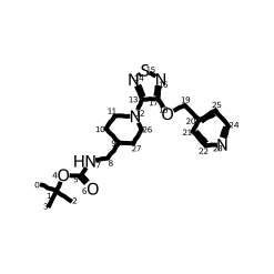 CC(C)(C)OC(=O)NCC1CCN(c2nsnc2OCc2ccncc2)CC1